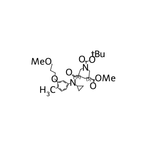 COCCCOc1cc(N(C(=O)[C@@H]2C[C@H](C(=O)OC)CN(C(=O)OC(C)(C)C)C2)C2CC2)ccc1C